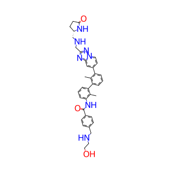 Cc1c(NC(=O)c2ccc(CNCCO)cc2)cccc1-c1cccc(-c2ccn3nc(CNC[C@@H]4CCC(=O)N4)nc3c2)c1C